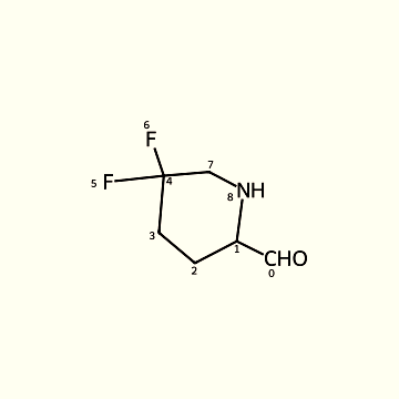 O=CC1CCC(F)(F)CN1